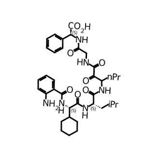 CCCC(NC(=O)[C@H](CC(C)C)NC(=O)[C@@H](NC(=O)c1ccccc1N)C1CCCCC1)C(=O)C(=O)NCC(=O)N[C@H](C(=O)O)c1ccccc1